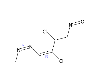 C/N=N\C=C(\Cl)C(Cl)CN=O